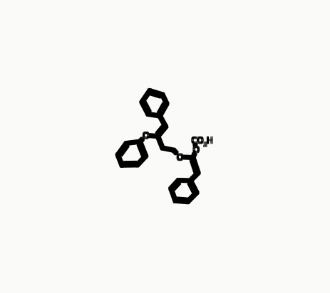 O=C(O)OC(=Cc1ccccc1)OCCC(=Cc1ccccc1)Oc1ccccc1